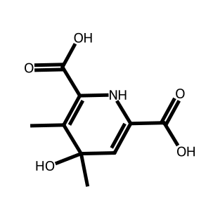 CC1=C(C(=O)O)NC(C(=O)O)=CC1(C)O